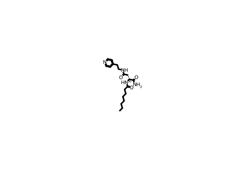 CCCCCCCC(=O)N[C@H](CC(=O)NCCc1ccncc1)C(N)=O